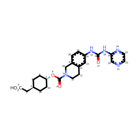 O=C(O)C[C@H]1CC[C@H](OC(=O)N2CCc3cc(NC(=O)Nc4cnccn4)ccc3C2)CC1